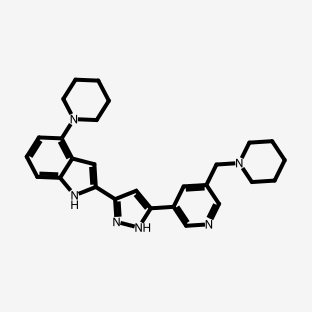 c1cc(N2CCCCC2)c2cc(-c3cc(-c4cncc(CN5CCCCC5)c4)[nH]n3)[nH]c2c1